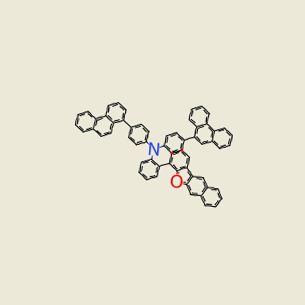 c1ccc(N(c2ccc(-c3cccc4c3ccc3ccccc34)cc2)c2ccc(-c3cc4ccccc4c4ccccc34)cc2)c(-c2cccc3c2oc2cc4ccccc4cc23)c1